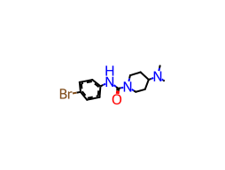 CN(C)C1CCN(C(=O)Nc2ccc(Br)cc2)CC1